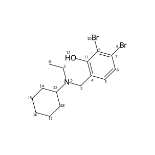 CCN(Cc1ccc(Br)c(Br)c1O)C1CCCCC1